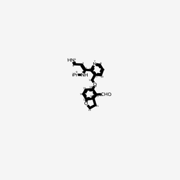 CC(C)N/C(=C\C=N)c1ncccc1COc1ccc2c(c1C=O)CCO2